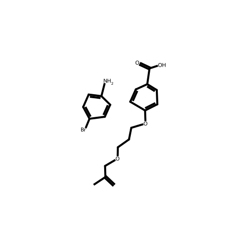 C=C(C)COCCCOc1ccc(C(=O)O)cc1.Nc1ccc(Br)cc1